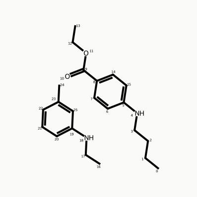 CCCCNc1ccc(C(=O)OCC)cc1.CCNc1cccc(C)c1